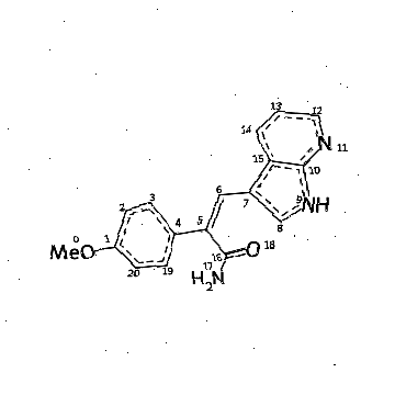 COc1ccc(/C(=C/c2c[nH]c3ncccc23)C(N)=O)cc1